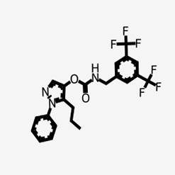 CCCc1c(OC(=O)NCc2cc(C(F)(F)F)cc(C(F)(F)F)c2)cnn1-c1ccccc1